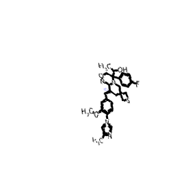 COc1cc(/C=C2\CC3(CSC3)CN3C2=NOCC3(c2ccc(F)cc2)C(C)O)ccc1-n1cnc(C)c1